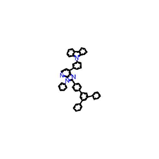 c1ccc(-c2cc(-c3ccccc3)cc(-c3ccc(-c4nc5c(-c6cccc(-n7c8ccccc8c8ccccc87)c6)ccnc5n4-c4ccccc4)cc3)c2)cc1